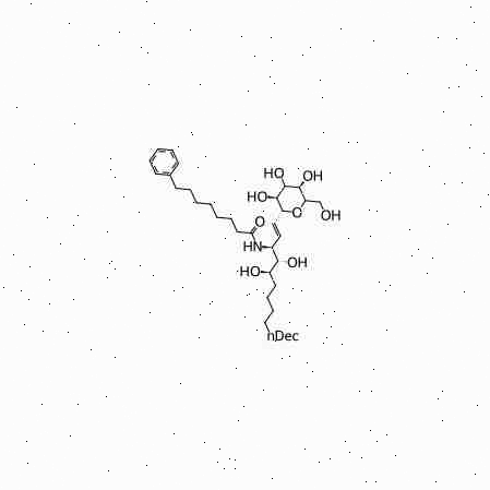 CCCCCCCCCCCCCC[C@@H](O)[C@@H](O)[C@H](/C=C/[C@H]1OC(CO)[C@H](O)C(O)[C@@H]1O)NC(=O)CCCCCCCc1ccccc1